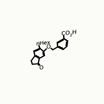 CCCCCCc1cc2c(cc1OCc1cccc(C(=O)O)c1)C(=O)CC2